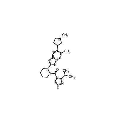 Cc1cn2nc([C@@H]3CCCCN3C(=O)c3c[nH]nc3C(C)C)cc2nc1C1CC[C@H](C)C1